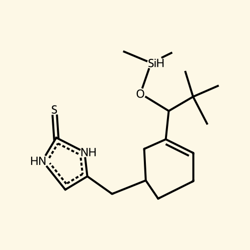 C[SiH](C)OC(C1=CCCC(Cc2c[nH]c(=S)[nH]2)C1)C(C)(C)C